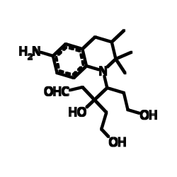 CC1Cc2cc(N)ccc2N(C(CCO)C(O)(CC=O)CCO)C1(C)C